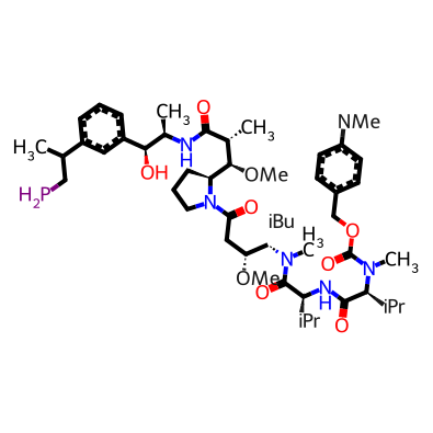 CC[C@H](C)[C@@H]([C@@H](CC(=O)N1CCC[C@H]1[C@H](OC)[C@@H](C)C(=O)N[C@H](C)[C@@H](O)c1cccc(C(C)CP)c1)OC)N(C)C(=O)[C@@H](NC(=O)[C@H](C(C)C)N(C)C(=O)OCc1ccc(NC)cc1)C(C)C